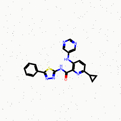 O=C(Nc1nnc(-c2ccccc2)s1)c1nc(C2CC2)ccc1Nc1cncnc1